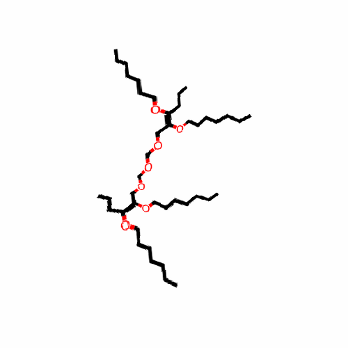 CCCCCCCOC(CCC)=C(COCOCOCC(OCCCCCCC)=C(CCC)OCCCCCCC)OCCCCCCC